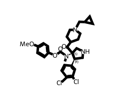 COc1ccc(OC(=O)N(C)[C@]2(C(=O)C3CCN(CC4CC4)CC3)CNC[C@H]2c2ccc(Cl)c(Cl)c2)cc1